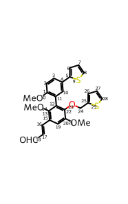 COc1ccc(-c2cccs2)cc1-c1c(OC)c(C=CC=O)cc(OC)c1OCc1cccs1